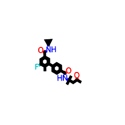 CC(=O)CC(C)(C)NC(=O)c1ccc(-c2cc(C(=O)NC3CC3)cc(F)c2C)cc1